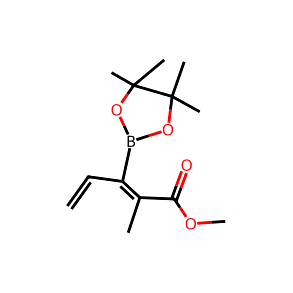 C=C/C(B1OC(C)(C)C(C)(C)O1)=C(\C)C(=O)OC